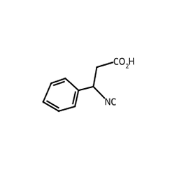 [C-]#[N+]C(CC(=O)O)c1ccccc1